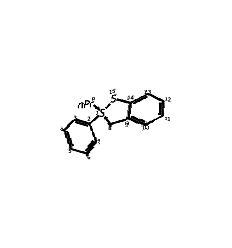 CCCS1(c2ccccc2)Cc2ccccc2S1